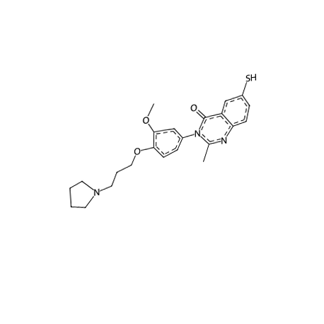 COc1cc(-n2c(C)nc3ccc(S)cc3c2=O)ccc1OCCCN1CCCC1